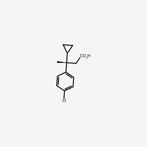 C[C@@](CC(=O)O)(c1ccc(Cl)cc1)C1CC1